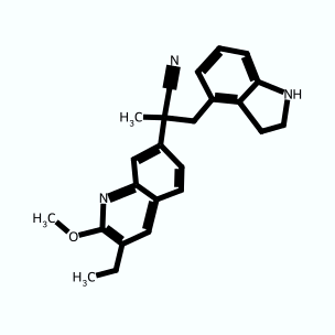 CCc1cc2ccc(C(C)(C#N)Cc3cccc4c3CCN4)cc2nc1OC